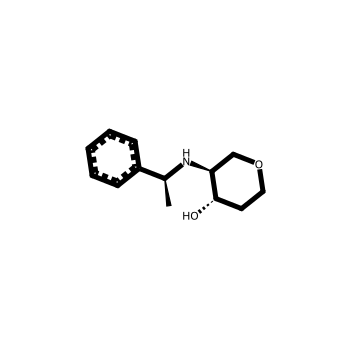 C[C@H](N[C@H]1COCC[C@@H]1O)c1ccccc1